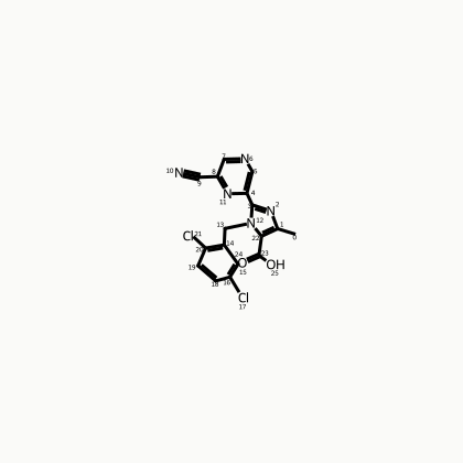 Cc1nc(-c2cncc(C#N)n2)n(Cc2cc(Cl)ccc2Cl)c1C(=O)O